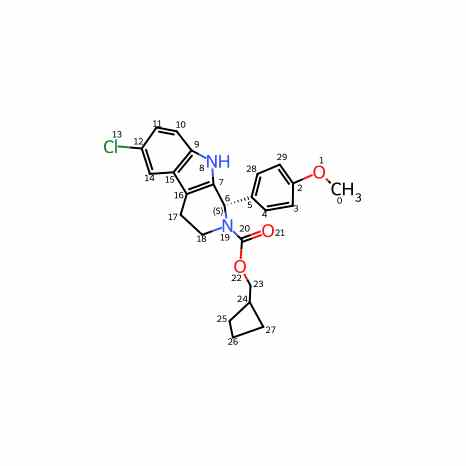 COc1ccc([C@H]2c3[nH]c4ccc(Cl)cc4c3CCN2C(=O)OCC2CCC2)cc1